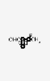 Cc1ccc(-c2ccc(C=O)c(Oc3ccccc3Cl)n2)cc1F